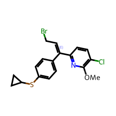 COc1nc(/C(=C/CBr)c2ccc(SC3CC3)cc2)ccc1Cl